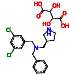 Clc1cc(Cl)cc(CN(Cc2ccccc2)C[C@@H]2CCNC2)c1.O=C(O)C(O)C(O)C(=O)O